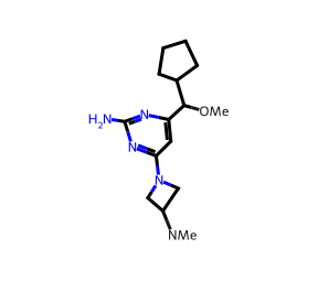 CNC1CN(c2cc(C(OC)C3CCCC3)nc(N)n2)C1